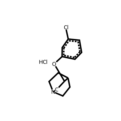 Cl.Clc1cccc(OC2CN3CCC2CC3)c1